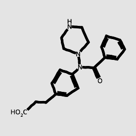 O=C(O)CCc1ccc(N(C(=O)c2ccccc2)N2CCNCC2)cc1